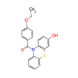 CCOc1ccc(C(=O)N2c3ccccc3Sc3cc(O)ccc32)cc1